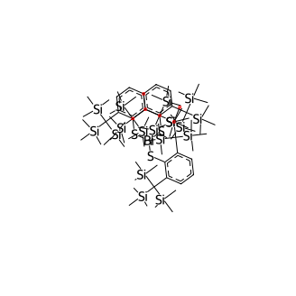 C[Si](C)(C)C(c1cccc(C([Si](C)(C)C)([Si](C)(C)C)[Si](C)(C)C)c1[S][Bi]([S]c1c(C([Si](C)(C)C)([Si](C)(C)C)[Si](C)(C)C)cccc1C([Si](C)(C)C)([Si](C)(C)C)[Si](C)(C)C)[S]c1c(C([Si](C)(C)C)([Si](C)(C)C)[Si](C)(C)C)cccc1C([Si](C)(C)C)([Si](C)(C)C)[Si](C)(C)C)([Si](C)(C)C)[Si](C)(C)C